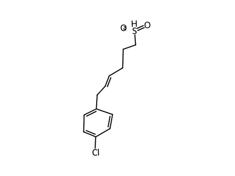 O=[SH](=O)CCCC=CCc1ccc(Cl)cc1